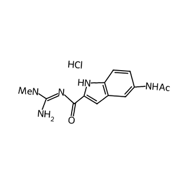 CNC(N)=NC(=O)c1cc2cc(NC(C)=O)ccc2[nH]1.Cl